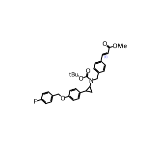 COC(=O)/C=C/c1ccc(CN(C(=O)OC(C)(C)C)C2CC2c2ccc(OCc3ccc(F)cc3)cc2)cc1